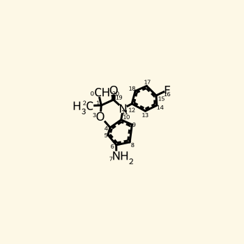 CC1(C)Oc2cc(N)ccc2N(c2ccc(F)cc2)C1=O